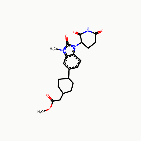 COC(=O)CC1CCC(c2ccc3c(c2)n(C)c(=O)n3C2CCC(=O)NC2=O)CC1